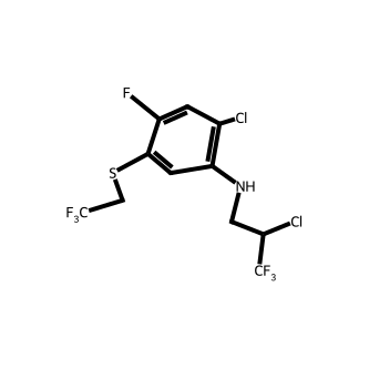 Fc1cc(Cl)c(NCC(Cl)C(F)(F)F)cc1SCC(F)(F)F